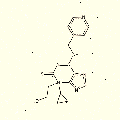 CCC[N+]1(C2CC2)C(=S)N=C(NCc2ccncc2)c2[nH]cnc21